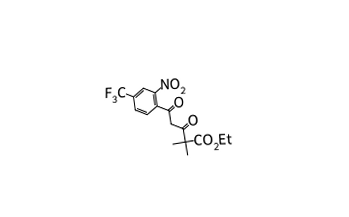 CCOC(=O)C(C)(C)C(=O)CC(=O)c1ccc(C(F)(F)F)cc1[N+](=O)[O-]